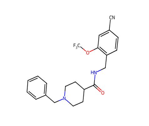 N#Cc1ccc(CNC(=O)C2CCN(Cc3ccccc3)CC2)c(OC(F)(F)F)c1